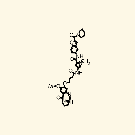 COc1cc2c(cc1OCCCC(=O)Nc1cc(C(=O)Nc3ccc4oc(C(=O)N5CCCCC5)cc4c3)n(C)c1)N=C[C@@H]1CCCN1C2=O